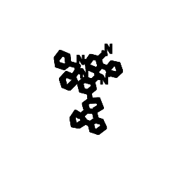 N#Cc1cc2nc(-c3ccccc3)c(-c3ccccc3)nc2c2c(-c3cccc(-c4ccc5c6ccccc6c6ccccc6c5c4)c3)nc3ccccc3c12